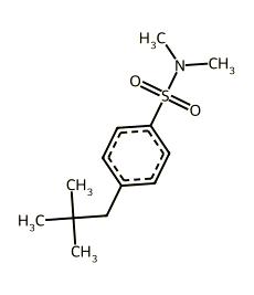 CN(C)S(=O)(=O)c1ccc(CC(C)(C)C)cc1